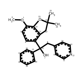 COc1ccc(C(O)(Cc2ccncc2)c2ccccc2)c2c1OC(C)(C)C2